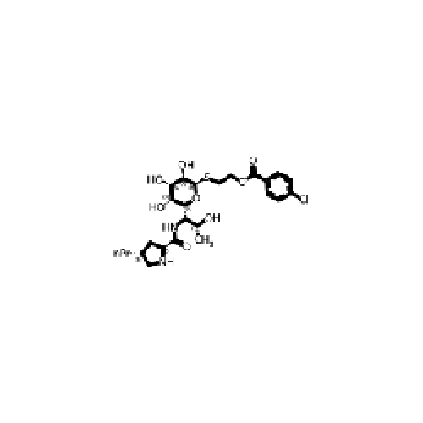 CCC[C@H]1CN[C@H](C(=O)NC([C@H]2O[C@H](SCCOC(=O)c3ccc(Cl)cc3)[C@H](O)[C@@H](O)[C@H]2O)[C@@H](C)O)C1